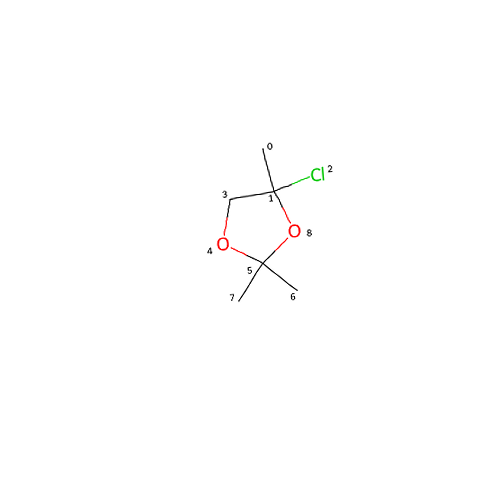 CC1(Cl)COC(C)(C)O1